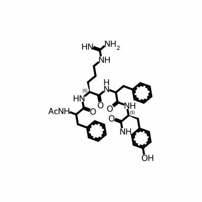 CC(=O)NC(Cc1ccccc1)C(=O)N[C@@H](CCCNC(=N)N)C(=O)NC(Cc1ccccc1)C(=O)N[C@@H](Cc1ccc(O)cc1)C(N)=O